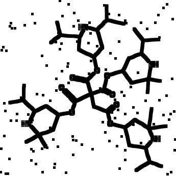 CC(C)C1CC(OC(=O)C(CC(=O)OC2CC(C(C)C)NC(C)(C)C2)(C(=O)OC2CC(C(C)C)NC(C)(C)C2)C(=O)OC2CC(C(C)C)NC(C)(C)C2)CC(C(C)C)N1